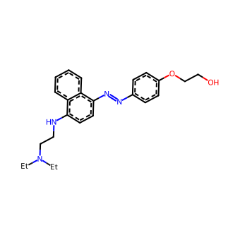 CCN(CC)CCNc1ccc(N=Nc2ccc(OCCO)cc2)c2ccccc12